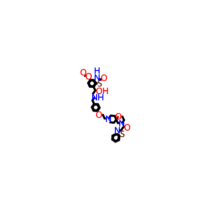 O=COc1ccc([C@@H](O)CNCc2ccc(OCCN3CCC4(CC3)CN(C(=O)c3nc5ccccc5s3)CCO4)cc2)c2sc(=O)[nH]c12